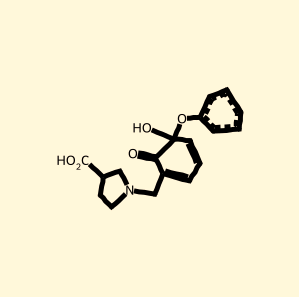 O=C(O)C1CCN(CC2=CC=CC(O)(Oc3ccccc3)C2=O)C1